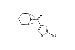 CCc1cc(C(=O)N2C3CCCC2CC3)cs1